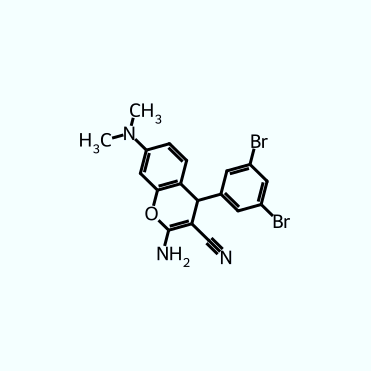 CN(C)c1ccc2c(c1)OC(N)=C(C#N)C2c1cc(Br)cc(Br)c1